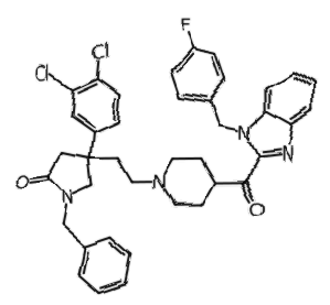 O=C(c1nc2ccccc2n1Cc1ccc(F)cc1)C1CCN(CCC2(c3ccc(Cl)c(Cl)c3)CC(=O)N(Cc3ccccc3)C2)CC1